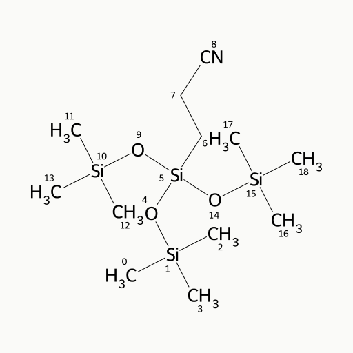 C[Si](C)(C)O[Si](CCC#N)(O[Si](C)(C)C)O[Si](C)(C)C